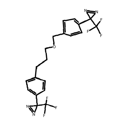 FC(F)(F)C1(c2ccc(CCCOCc3ccc(C4(C(F)(F)F)N=N4)cc3)cc2)N=N1